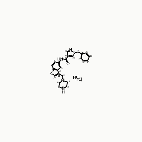 Cl.Cl.O=C(Nc1ccc2scc(CN3CCNCC3)c2c1)c1cnn(Cc2ccccc2)c1